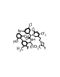 CCOC(=O)C[C@H](NC(=O)C(c1cc(Cl)cc(Br)c1)n1cc(CCN2CC(F)C2)c(C(F)(F)F)cc1=O)c1cc(-c2c(C)cccc2O)cc(C)c1F